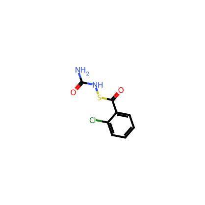 NC(=O)NSC(=O)c1ccccc1Cl